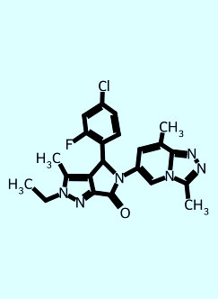 CCn1nc2c(c1C)C(c1ccc(Cl)cc1F)N(c1cc(C)c3nnc(C)n3c1)C2=O